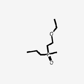 CCCP(C)(=O)CCOCC